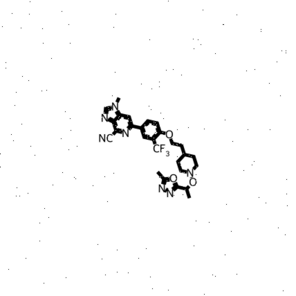 Cc1nnc(C(C)ON2CCC(CCOc3ccc(-c4cc5c(ncn5C)c(C#N)n4)cc3C(F)(F)F)CC2)o1